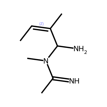 C/C=C(/C)C(N)N(C)C(C)=N